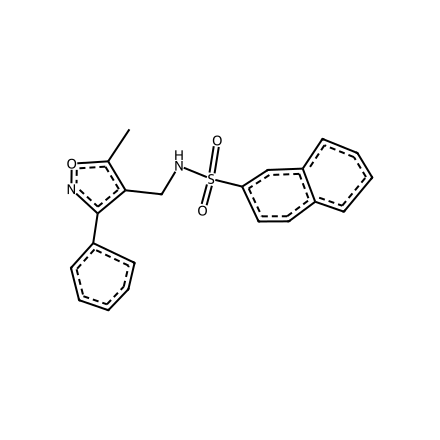 Cc1onc(-c2ccccc2)c1CNS(=O)(=O)c1ccc2ccccc2c1